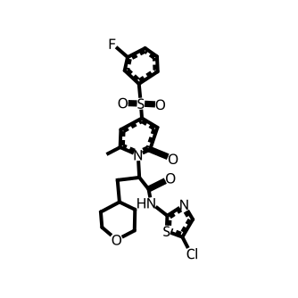 Cc1cc(S(=O)(=O)c2cccc(F)c2)cc(=O)n1C(CC1CCOCC1)C(=O)Nc1ncc(Cl)s1